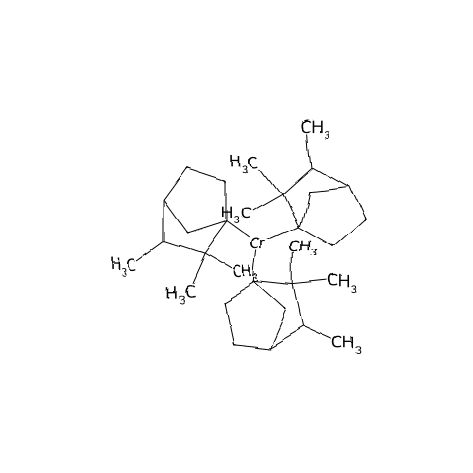 CC1C2CC[C]([Cr]([C]34CCC(C3)C(C)C4(C)C)[C]34CCC(C3)C(C)C4(C)C)(C2)C1(C)C